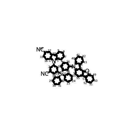 N#Cc1cc(-n2c3ccccc3c3cc(C#N)ccc32)cc([Si](c2ccccc2)(c2ccccc2)c2cccc(-n3c4ccccc4c4c5oc6ccccc6c5ccc43)c2)c1